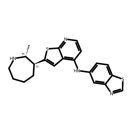 C[C@H]1NCCCC[C@@H]1c1cc2c(Nc3ccc4scnc4c3)ccnc2s1